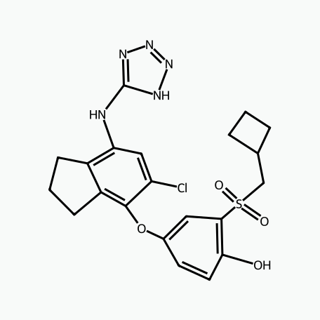 O=S(=O)(CC1CCC1)c1cc(Oc2c(Cl)cc(Nc3nnn[nH]3)c3c2CCC3)ccc1O